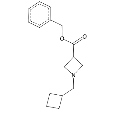 O=C(OCc1ccccc1)C1CN(CC2CCC2)C1